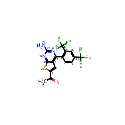 CC(=O)c1cc2c(-c3ccc(C(F)(F)F)cc3C(F)(F)F)nc(N)nc2s1